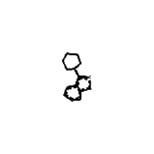 c1ccc2c(C3CCCCC3)scc2c1